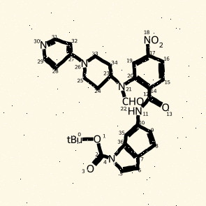 CC(C)(C)OC(=O)n1ccc2ccc(NC(=O)c3ccc([N+](=O)[O-])cc3N(C=O)C3CCN(c4ccncc4)CC3)cc21